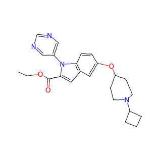 CCOC(=O)c1cc2cc(OC3CCN(C4CCC4)CC3)ccc2n1-c1cncnc1